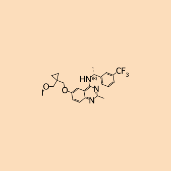 Cc1nc(N[C@H](C)c2cccc(C(F)(F)F)c2)c2cc(OCC3(COI)CC3)ccc2n1